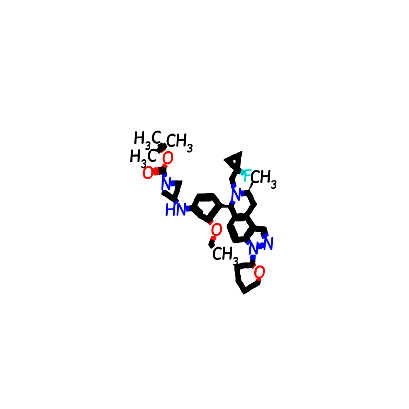 CCOc1cc(NC2CN(C(=O)OC(C)(C)C)C2)ccc1[C@@H]1c2ccc3c(cnn3C3CCCCO3)c2C[C@@H](C)N1CC1(F)CC1